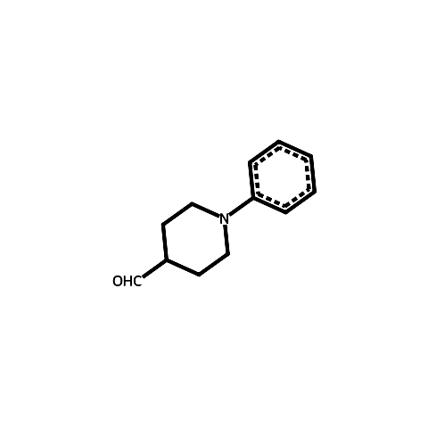 O=CC1CCN(c2ccccc2)CC1